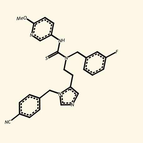 COc1ccc(NC(=S)N(CCc2cncn2Cc2ccc(C#N)cc2)Cc2cccc(F)c2)cn1